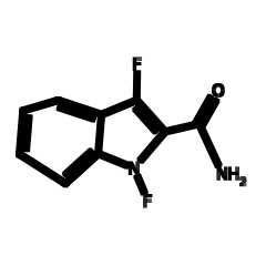 NC(=O)c1c(F)c2ccccc2n1F